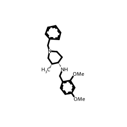 COc1ccc(CN[C@H]2CCN(Cc3ccccc3)C[C@H]2C)c(OC)c1